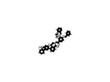 CS(=O)(=O)N(Cc1ccccc1)c1cc(C(=O)CN(CCOc2ccc3c4c([nH]c3c2)CCCC4)C(=O)c2ccccc2)ccc1OCc1ccccc1